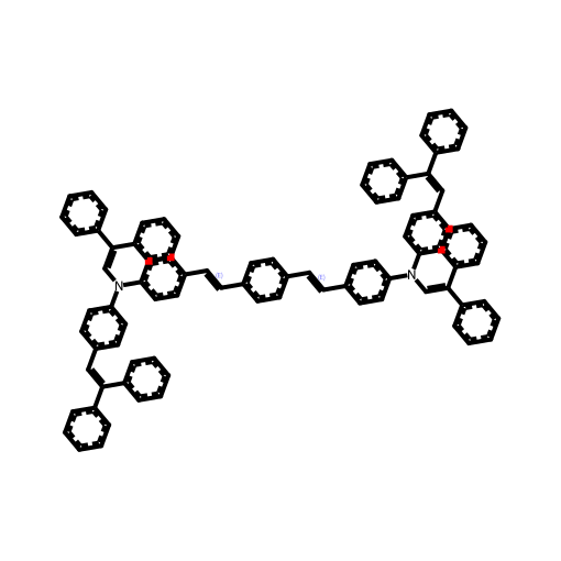 C(=C(c1ccccc1)c1ccccc1)c1ccc(N(C=C(c2ccccc2)c2ccccc2)c2ccc(/C=C/c3ccc(/C=C/c4ccc(N(C=C(c5ccccc5)c5ccccc5)c5ccc(C=C(c6ccccc6)c6ccccc6)cc5)cc4)cc3)cc2)cc1